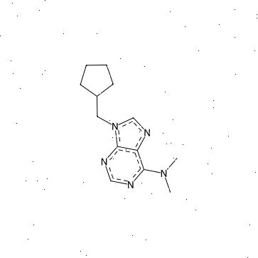 CN(C)c1ncnc2c1ncn2CC1CCCC1